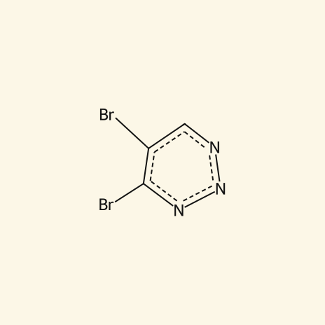 Brc1cnnnc1Br